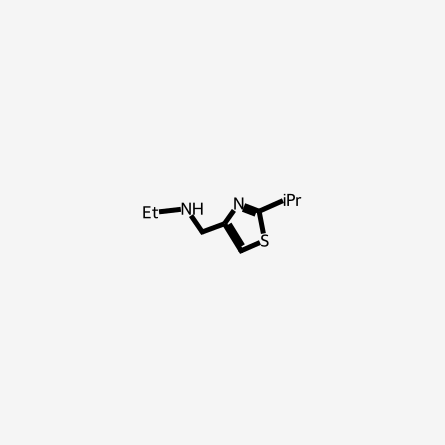 CCNCc1csc(C(C)C)n1